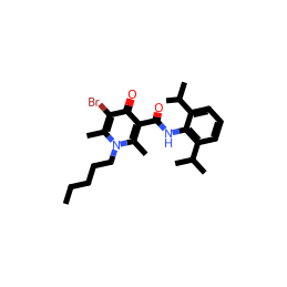 CCCCCn1c(C)c(Br)c(=O)c(C(=O)Nc2c(C(C)C)cccc2C(C)C)c1C